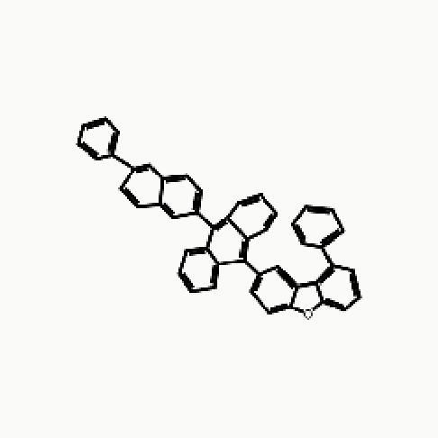 c1ccc(-c2ccc3cc(-c4c5ccccc5c(-c5ccc6oc7cccc(-c8ccccc8)c7c6c5)c5ccccc45)ccc3c2)cc1